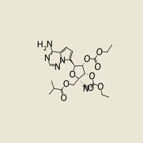 CCOC(=O)O[C@H]1[C@H](c2ccc3c(N)ncnn23)O[C@](C#N)(COC(=O)C(C)C)[C@H]1OC(=O)OCC